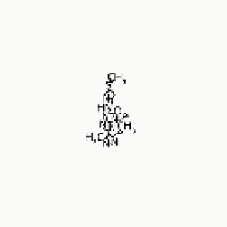 CCSc1ccc(CNc2nc3ncc(-c4c(C)ncnc4C4CC4)nc3n(C(C)C3CC3)c2=O)nc1